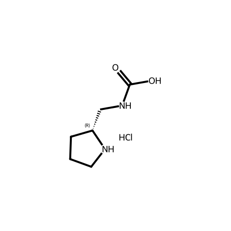 Cl.O=C(O)NC[C@H]1CCCN1